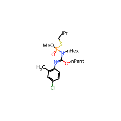 CCCCCCN(C(=Nc1ccc(Cl)cc1C)OCCCCC)P(=O)(OC)SCC(C)C